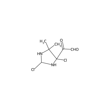 CC1(C)NC(Cl)NC1(Cl)C(=O)C=O